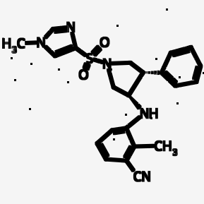 Cc1c(C#N)cccc1N[C@H]1CN(S(=O)(=O)c2cn(C)cn2)C[C@@H]1c1ccccc1